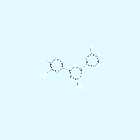 Cc1cc(-c2ccc(Cl)c(C)c2)nc(-c2cccc(Br)c2)n1